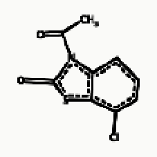 CC(=O)n1c(=O)sc2c(Cl)cccc21